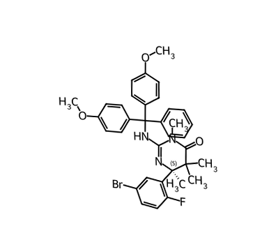 COc1ccc(C(NC2=N[C@](C)(c3cc(Br)ccc3F)C(C)(C)C(=O)N2C)(c2ccccc2)c2ccc(OC)cc2)cc1